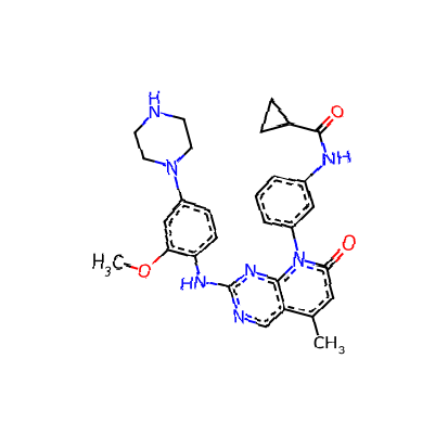 COc1cc(N2CCNCC2)ccc1Nc1ncc2c(C)cc(=O)n(-c3cccc(NC(=O)C4CC4)c3)c2n1